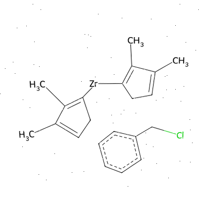 CC1=CC[C]([Zr][C]2=C(C)C(C)=CC2)=C1C.ClCc1ccccc1